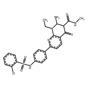 CCN1c2nc(-c3ccc(NS(=O)(=O)c4ccccc4Cl)cc3)ccc2C(=O)C(C(=O)NC)C1N